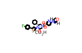 O=C(O)c1sc(-c2ccc(F)cc2)cc1N1C(=O)CN(S(=O)(=O)c2ccc(N3C[C@H]4C[C@@H]3CO4)nc2)C[C@H]1C1CCCCC1